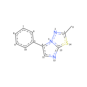 Cc1nn2c(-c3ccccc3)cnc2s1